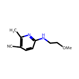 COCCNc1ccc(C#N)c(C)n1